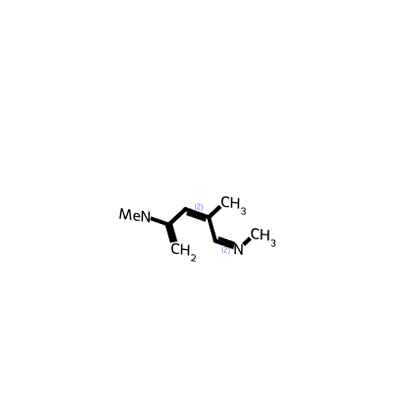 C=C(/C=C(C)\C=N/C)NC